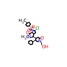 Cc1ccc(S(=O)(=O)n2c(Cl)cc3c(-c4cc(=O)n(CCO)cc4-c4ccccc4)cn(C)c(=O)c32)cc1